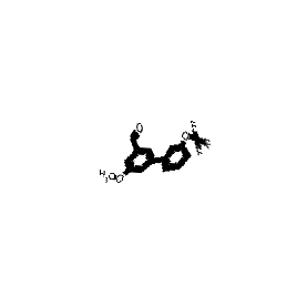 COc1cc(C=O)cc(-c2cccc(OC(F)(F)F)c2)c1